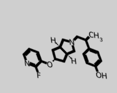 CC(CN1C[C@H]2C[C@H](Oc3cccnc3F)C[C@H]2C1)c1ccc(O)cc1